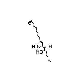 CCCCCC(O)C(O)C(N)C=CCCCCCCCC(C)=O